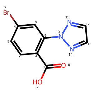 O=C(O)c1ccc(Br)cc1-n1nccn1